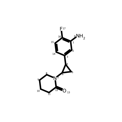 Nc1cc(C2CC2N2CCCCC2=O)ccc1F